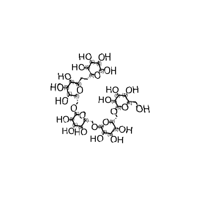 OC[C@H]1O[C@H](OC[C@H]2O[C@H](OC[C@H]3O[C@H](OC[C@H]4O[C@H](CC[C@H]5O[C@H](O)[C@H](O)[C@@H](O)[C@@H]5O)[C@H](O)[C@@H](O)[C@@H]4O)[C@H](O)[C@@H](O)[C@@H]3O)[C@H](O)[C@@H](O)[C@@H]2O)[C@H](O)[C@@H](O)[C@@H]1O